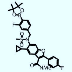 CNC(=O)c1c(-c2ccc(F)cc2)oc2cc(N(Cc3ccc(B4OC(C)(C)C(C)(C)O4)c(F)c3)S(C)(=O)=O)c(C3CC3)cc12